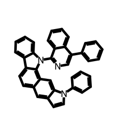 c1ccc(-c2cnc(-n3c4ccccc4c4ccc5cc6ccn(-c7ccccc7)c6cc5c43)c3ccccc23)cc1